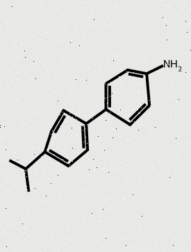 CC(C)c1ccc(-c2ccc(N)cc2)cc1